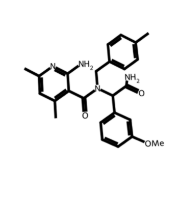 COc1cccc(C(C(N)=O)N(Cc2ccc(C)cc2)C(=O)c2c(C)cc(C)nc2N)c1